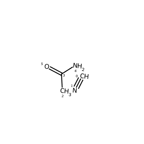 C#N.CC(N)=O